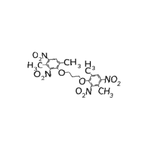 Cc1cc([N+](=O)[O-])c(C)c([N+](=O)[O-])c1OCCCOc1c(C)cc([N+](=O)[O-])c(C)c1[N+](=O)[O-]